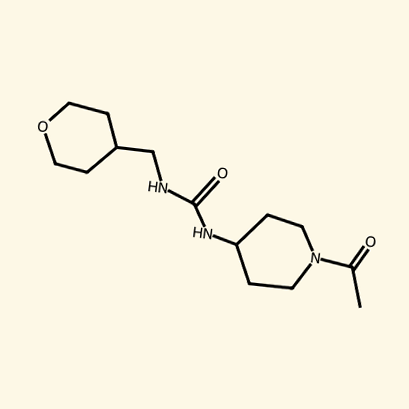 CC(=O)N1CCC(NC(=O)NCC2CCOCC2)CC1